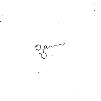 CCCCCCCCOc1c2ccccc2cc2ccccc12